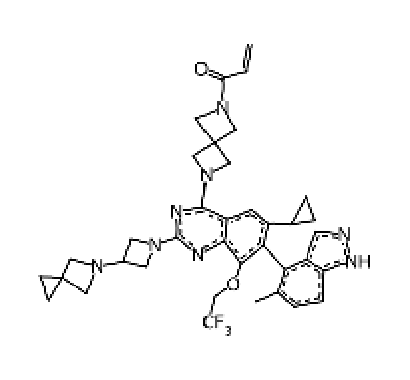 C=CC(=O)N1CC2(C1)CN(c1nc(N3CC(N4CC5(CC5)C4)C3)nc3c(OCC(F)(F)F)c(-c4c(C)ccc5[nH]ncc45)c(C4CC4)cc13)C2